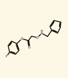 O=C(CONCc1cc[c]cc1)Oc1ccc(F)cc1